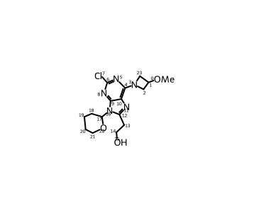 COC1CN(c2nc(Cl)nc3c2nc(CCO)n3C2CCCCO2)C1